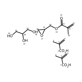 C=C(C)C(=O)O.C=C(C)C(=O)O.C=C(C)C(=O)OCC1CO1.OCC(O)CO